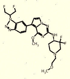 COCCN1CC[C@@H](Nc2nc(OC)c3c(-c4ccc5nnn(C(CF)CF)c5c4)ccn3n2)C(F)(F)C1